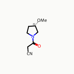 CO[C@H]1CCN(C(=O)CC#N)C1